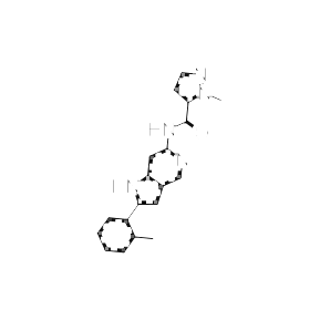 Cc1ccccc1-c1cc2cnc(NC(=O)c3ccnn3C)cc2[nH]1